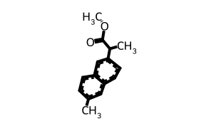 COC(=O)C(C)c1ccc2cc(C)ccc2c1